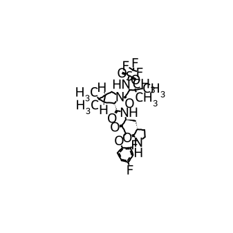 CC(C)(C)[C@H](NS(=O)(=O)C(F)(F)F)C(=O)N1C[C@H]2[C@@H]([C@H]1C(=O)N[C@@H](C[C@@H]1CCNC1=O)C(=O)COc1ccc(F)cc1F)C2(C)C